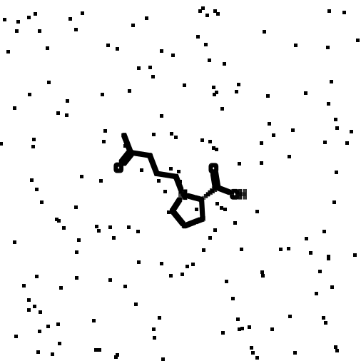 CC(=O)CCCN1CCC[C@H]1C(=O)O